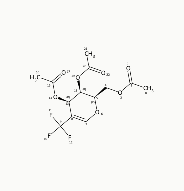 CC(=O)OC[C@H]1OC=C(C(F)(F)F)[C@@H](OC(C)=O)[C@H]1OC(C)=O